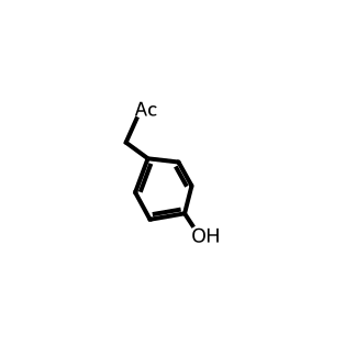 [CH2]C(=O)Cc1ccc(O)cc1